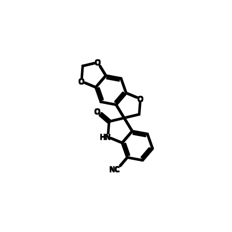 N#Cc1cccc2c1NC(=O)C21COc2cc3c(cc21)OCO3